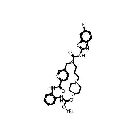 CC(C)(C)OC(=O)Nc1ccccc1NC(=O)c1ccc(CN(CCCN2CCOCC2)C(=O)Nc2nc3ccc(F)cc3s2)cn1